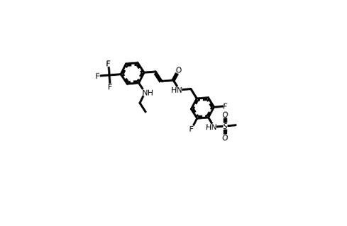 CCNc1cc(C(F)(F)F)ccc1C=CC(=O)NCc1cc(F)c(NS(C)(=O)=O)c(F)c1